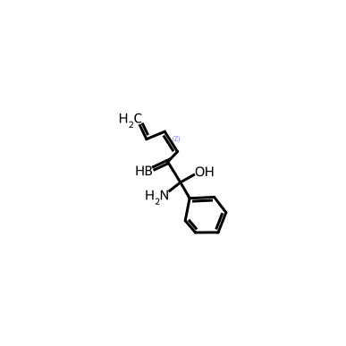 B=C(/C=C\C=C)C(N)(O)c1ccccc1